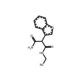 N#CCNC(=O)C(C(N)=O)c1csc2ccccc12